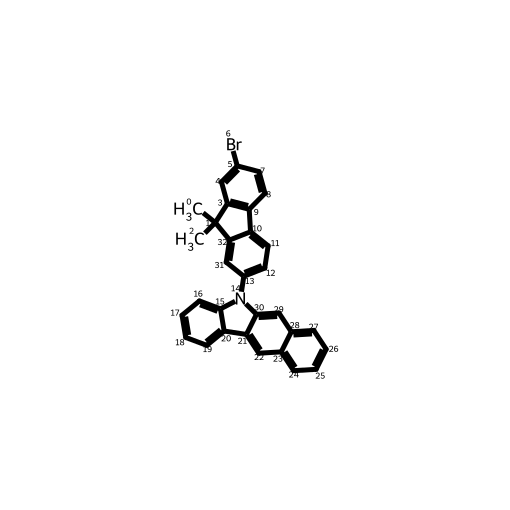 CC1(C)c2cc(Br)ccc2-c2ccc(-n3c4ccccc4c4cc5ccccc5cc43)cc21